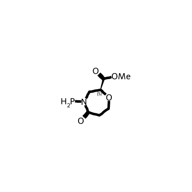 COC(=O)[C@@H]1CN(P)C(=O)CCO1